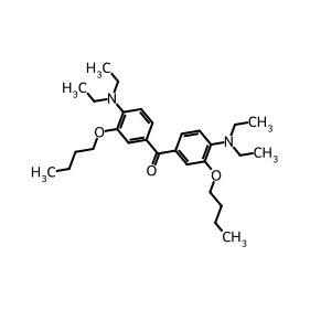 CCCCOc1cc(C(=O)c2ccc(N(CC)CC)c(OCCCC)c2)ccc1N(CC)CC